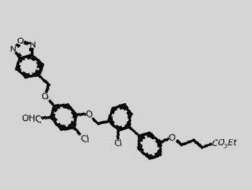 CCOC(=O)CCCOc1cccc(-c2cccc(COc3cc(OCc4ccc5nonc5c4)c(C=O)cc3Cl)c2Cl)c1